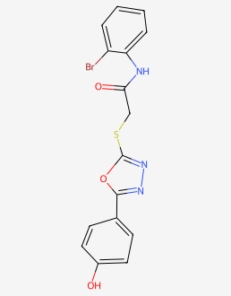 O=C(CSc1nnc(-c2ccc(O)cc2)o1)Nc1ccccc1Br